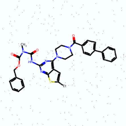 CCc1cc2c(N3CCN(C(=O)c4ccc(-c5ccccc5)cc4)CC3)nc(NC(=O)N(C)C(=O)OCc3ccccc3)nc2s1